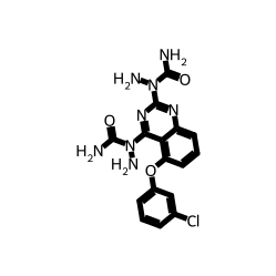 NC(=O)N(N)c1nc(N(N)C(N)=O)c2c(Oc3cccc(Cl)c3)cccc2n1